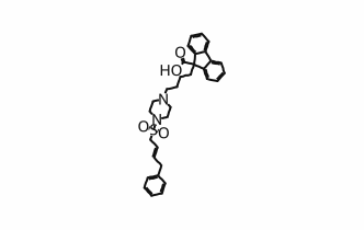 O=C(O)C1(CCCCN2CCN(S(=O)(=O)CC=CCc3ccccc3)CC2)c2ccccc2-c2ccccc21